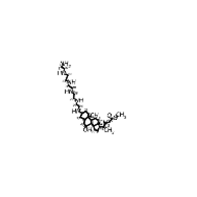 COC(=O)CC[C@@H](C)C1CCC2C3C(CC[C@@]21C)[C@@]1(C)CC[C@H](NCCNCCNCCNCCNCCN)CC1C[C@@H]3O